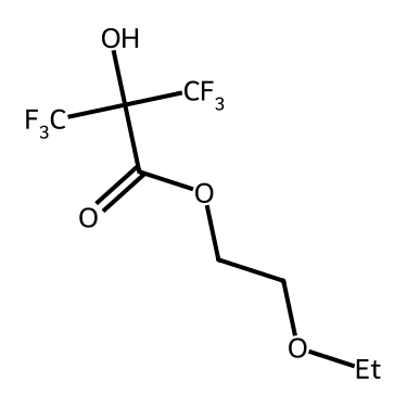 CCOCCOC(=O)C(O)(C(F)(F)F)C(F)(F)F